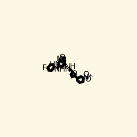 O=[N+]([O-])c1cccc(-c2ccc(C=NNN3C=C(Nc4ccc(F)cc4)Nc4nonc43)o2)c1